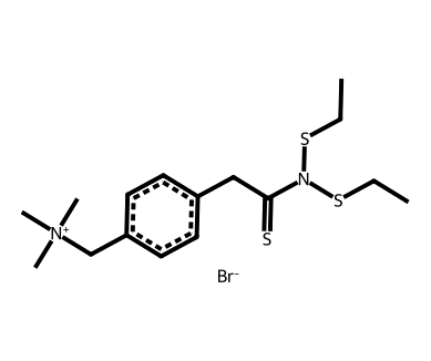 CCSN(SCC)C(=S)Cc1ccc(C[N+](C)(C)C)cc1.[Br-]